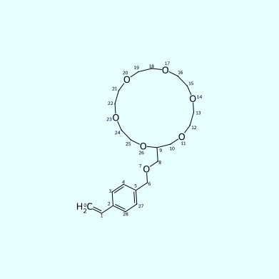 C=Cc1ccc(COCC2COCCOCCOCCOCCOCCO2)cc1